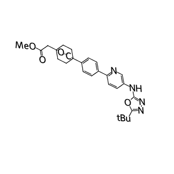 COC(=O)CC12CCC(c3ccc(-c4ccc(Nc5nnc(C(C)(C)C)o5)cn4)cc3)(CC1)CO2